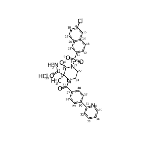 CC1(C(N)=O)C(=O)N(S(=O)(=O)c2ccc3cc(Cl)ccc3c2)CCN1C(=O)c1ccc(-c2ccccn2)cc1.Cl